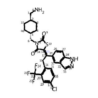 NC[C@H]1CC[C@H](CN2C(=O)S/C(=C(/Cc3ccc(Cl)cc3C(F)(F)F)c3ccc4[nH]ncc4c3)C2=O)CC1